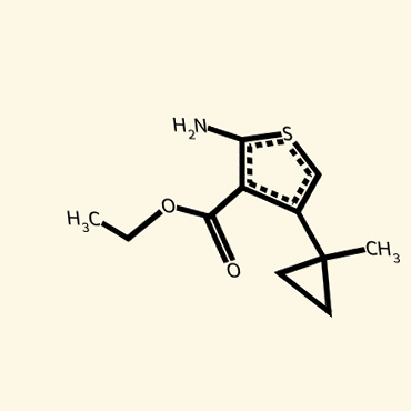 CCOC(=O)c1c(C2(C)CC2)csc1N